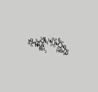 Nc1nc2c(cnn2CCN2CCN(c3ccc(O[C@H]4COC[C@@H]4O)cc3F)CC2)c2cc(-c3ccco3)nn12